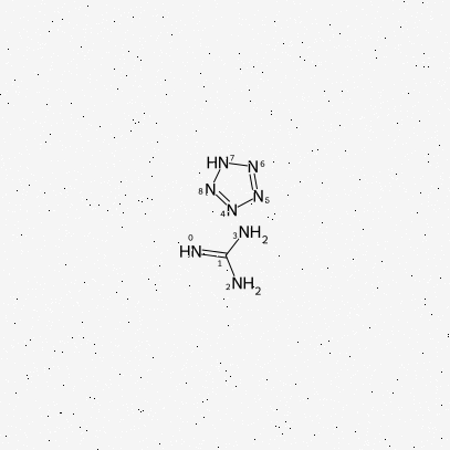 N=C(N)N.n1nn[nH]n1